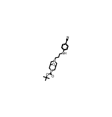 CC(C)(C)OC(=O)N1CC2CN(CCCNc3ccc(C#N)cc3)CC(C1)O2